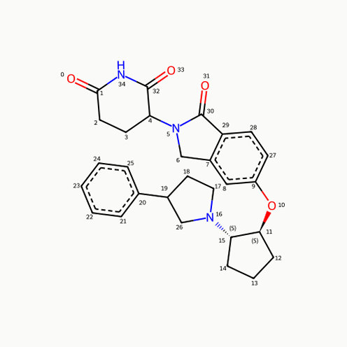 O=C1CCC(N2Cc3cc(O[C@H]4CCC[C@@H]4N4CCC(c5ccccc5)C4)ccc3C2=O)C(=O)N1